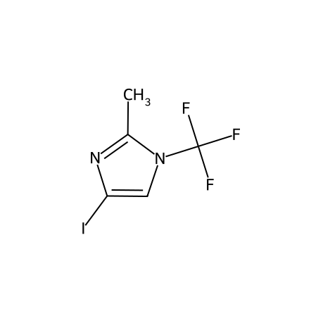 Cc1nc(I)cn1C(F)(F)F